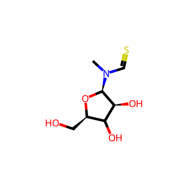 CN(C=S)[C@@H]1O[C@H](CO)C(O)[C@@H]1O